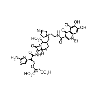 CCn1cc(C(=O)NCC[N+]2(CC3=C(C(=O)O)N4C(=O)[C@@H](NC(=O)C(=NO[C@@H](CC(=O)O)C(=O)O)c5csc(N)n5)[C@H]4SC3)CCCC2)c(=O)c2c(Cl)c(O)c(O)cc21.[Na+]